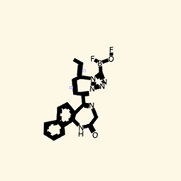 C=C(/C=C\C(=C/C)n1nnnc1B(F)OF)C1=NCC(=O)Nc2c1ccc1ccccc21